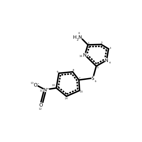 Nc1ccnc(Sc2ccc([N+](=O)[O-])cc2)n1